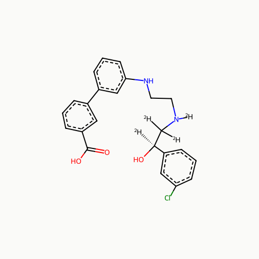 [2H]N(CCNc1cccc(-c2cccc(C(=O)O)c2)c1)C([2H])([2H])[C@]([2H])(O)c1cccc(Cl)c1